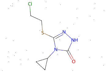 O=c1[nH]nc(SCCCl)n1C1CC1